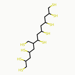 SCC(S)CC(S)CC(S)CC(S)C(CS)CC(S)CC(S)CS